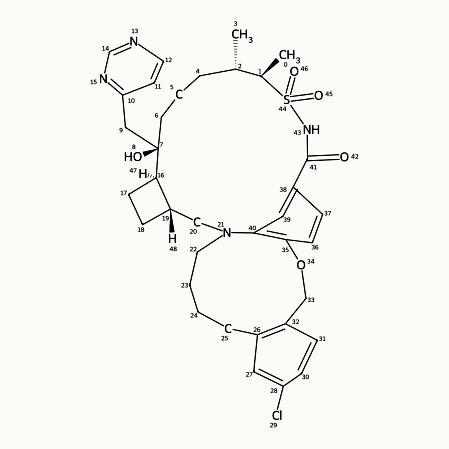 C[C@@H]1[C@@H](C)CCC[C@@](O)(Cc2ccncn2)[C@@H]2CC[C@H]2CN2CCCCc3cc(Cl)ccc3COc3ccc(cc32)C(=O)NS1(=O)=O